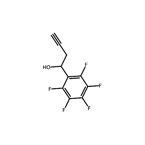 C#CCC(O)c1c(F)c(F)c(F)c(F)c1F